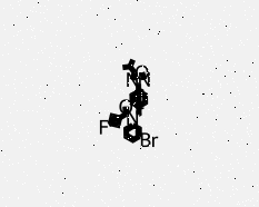 CC(C)c1nc(C23CCC(CN(C(=O)C45CC(F)(C4)C5)c4cccc(Br)c4)(CC2)CC3)no1